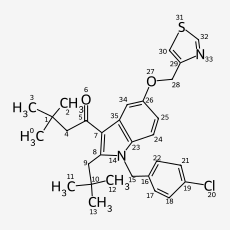 CC(C)(C)CC(=O)c1c(CC(C)(C)C)n(Cc2ccc(Cl)cc2)c2ccc(OCc3cscn3)cc12